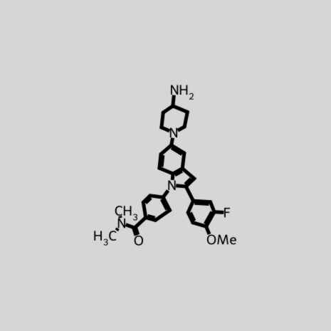 COc1ccc(-c2cc3cc(N4CCC(N)CC4)ccc3n2-c2ccc(C(=O)N(C)C)cc2)cc1F